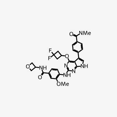 CNC(=O)c1ccc(-c2c[nH]c3nc(Nc4ccc(C(=O)NC5COC5)cc4OC)nc(OC4CC(F)(F)C4)c23)cc1